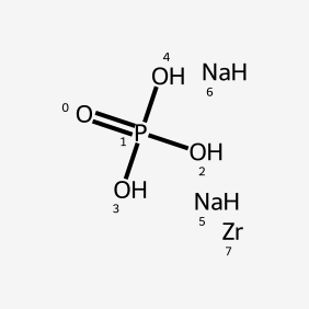 O=P(O)(O)O.[NaH].[NaH].[Zr]